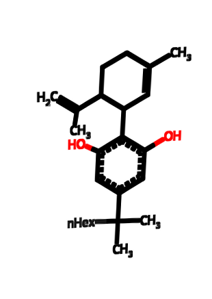 C=C(C)C1CCC(C)=CC1c1c(O)cc(C(C)(C)CCCCCC)cc1O